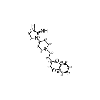 N=C1NCCN1C1CCN(CCC2COc3ccccc3O2)CC1